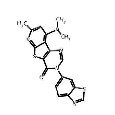 Cc1cc(N(C)C)c2c(n1)sc1c(=O)n(-c3ccc4ncsc4c3)cnc12